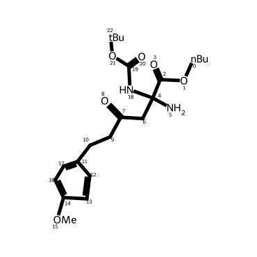 CCCCOC(=O)C(N)(CC(=O)CCc1ccc(OC)cc1)NC(=O)OC(C)(C)C